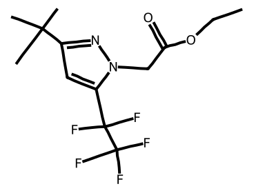 CCOC(=O)Cn1nc(C(C)(C)C)cc1C(F)(F)C(F)(F)F